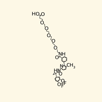 Cc1ccc(NC(=O)C2(c3ccc4c(c3)OC(F)(F)O4)CC2)nc1-c1cccc(C(=O)NCCOCCOCCOCCOCCOCCC(=O)O)c1